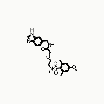 COc1cc(C)c(S(=O)(=O)N(C)CCOCC(=O)N(C)Cc2ccc3nc[nH]c3c2)c(C)c1